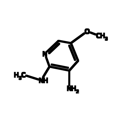 CNc1ncc(OC)cc1N